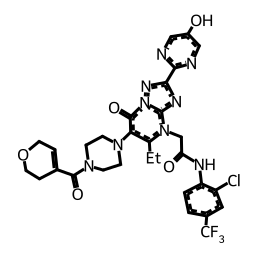 CCc1c(N2CCN(C(=O)C3=CCOCC3)CC2)c(=O)n2nc(-c3ncc(O)cn3)nc2n1CC(=O)Nc1ccc(C(F)(F)F)cc1Cl